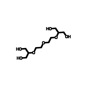 OCC(CO)OCCOCCOC(CO)CO